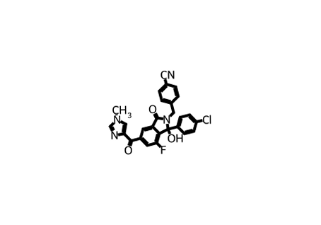 Cn1cnc(C(=O)c2cc(F)c3c(c2)C(=O)N(Cc2ccc(C#N)cc2)C3(O)c2ccc(Cl)cc2)c1